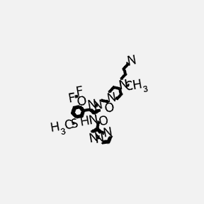 CSc1ccc(OC(F)F)c(-c2nn(CC(=O)N3CCC(N(C)CCCC#N)CC3)cc2NC(=O)c2cnn3cccnc23)c1